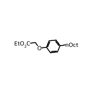 CCCCCCCCc1ccc(OCC(=O)OCC)cc1